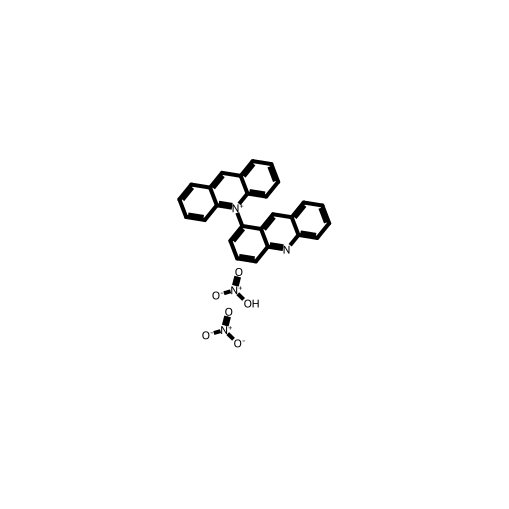 O=[N+]([O-])O.O=[N+]([O-])[O-].c1ccc2nc3cccc(-[n+]4c5ccccc5cc5ccccc54)c3cc2c1